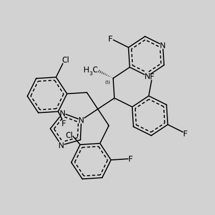 C[C@@H]([C](c1ccc(F)cc1F)C(Cc1c(F)cccc1Cl)(Cc1c(F)cccc1Cl)n1cncn1)c1ncncc1F